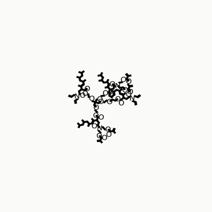 C=CCN(CC=C)C(=O)CC(C(=O)OCCOCCOCC(COCCOC(=O)C(CC(=O)N(CC=C)CC=C)/C(C)=C/C(C)CC(C)CC(C)C)(COCCOC(=O)C(CC(=O)N(CCOC(=O)C(=C)C)CCOC(=O)C(=C)C)/C(C)=C/C(C)CC(C)CC(C)C)COCCOC(=O)C(CC(=O)N(CCOC(=O)C(=C)C)CCOC(=O)C(=C)C)/C(C)=C/C(C)CC(C)CC(C)C)/C(C)=C/C(C)CC(C)CC(C)C